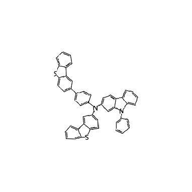 c1ccc(-n2c3ccccc3c3ccc(N(c4ccc(-c5ccc6sc7ccccc7c6c5)cc4)c4ccc5sc6ccccc6c5c4)cc32)cc1